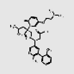 Cc1ccccc1-c1cc([C@H](CC(=O)O)NC[C@@](C=O)(CC(C)C)n2cc(OCCN(C)C)ccc2=O)cnc1C